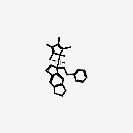 CC1=C(C)[C](C)([Hf]([CH3])([CH3])[C]2(CCc3ccccc3)C=Cc3cc4c(cc32)CCC4)C(C)=C1C